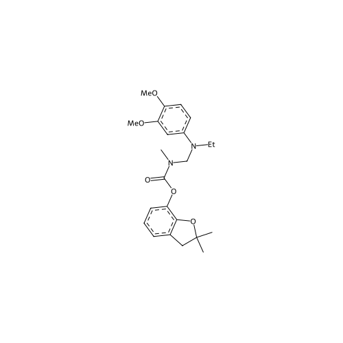 CCN(CN(C)C(=O)Oc1cccc2c1OC(C)(C)C2)c1ccc(OC)c(OC)c1